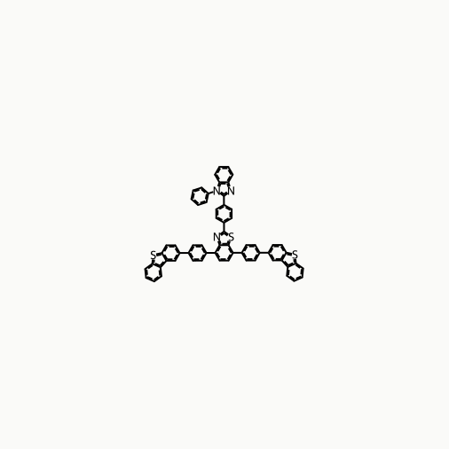 c1ccc(-n2c(-c3ccc(-c4nc5c(-c6ccc(-c7ccc8sc9ccccc9c8c7)cc6)ccc(-c6ccc(-c7ccc8sc9ccccc9c8c7)cc6)c5s4)cc3)nc3ccccc32)cc1